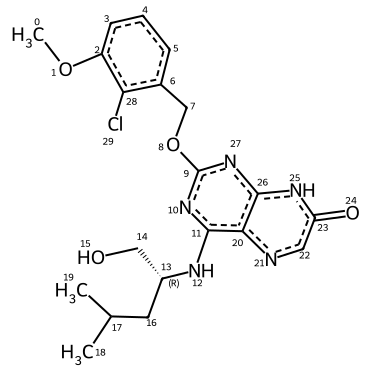 COc1cccc(COc2nc(N[C@@H](CO)CC(C)C)c3ncc(=O)[nH]c3n2)c1Cl